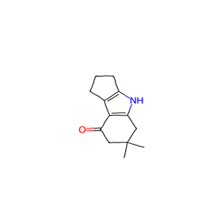 CC1(C)CC(=O)c2c([nH]c3c2CCC3)C1